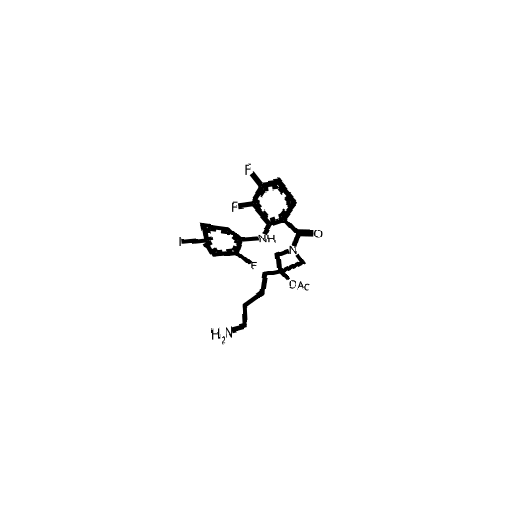 CC(=O)OC1(CCCCN)CN(C(=O)c2ccc(F)c(F)c2Nc2ccc(I)cc2F)C1